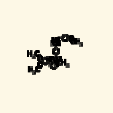 CCOc1ccc([C@@H]2CCCN(C)[C@@H]2NC(=O)c2ccc(-c3nnn(Cc4ccc(OC)cc4)n3)cc2)cc1OCC